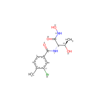 Cc1ccc(C(=O)N[C@H](C(=O)NO)[C@@H](C)O)cc1Br